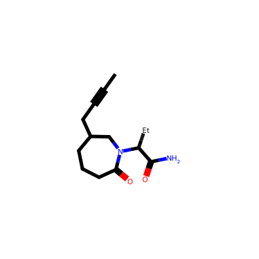 CC#CCC1CCCC(=O)N(C(CC)C(N)=O)C1